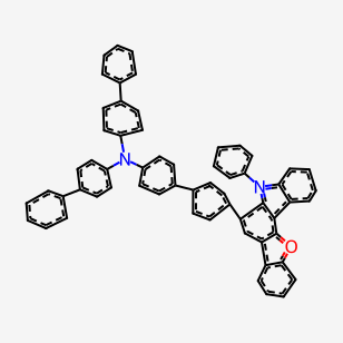 c1ccc(-c2ccc(N(c3ccc(-c4ccccc4)cc3)c3ccc(-c4ccc(-c5cc6c7ccccc7oc6c6c7ccccc7n(-c7ccccc7)c56)cc4)cc3)cc2)cc1